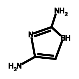 NC1=CBC(N)=N1